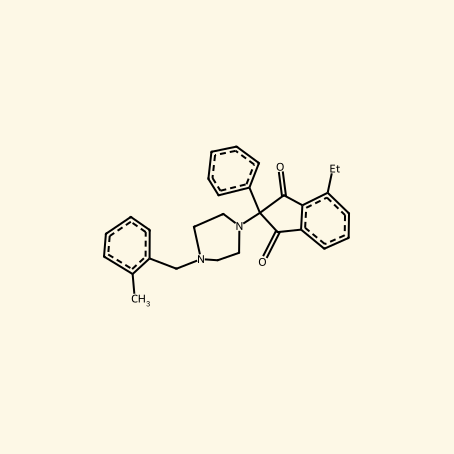 CCc1cccc2c1C(=O)C(c1ccccc1)(N1CCN(Cc3ccccc3C)CC1)C2=O